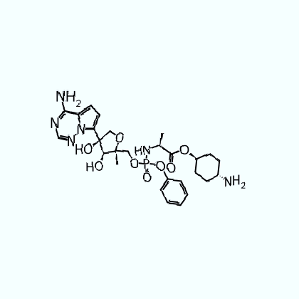 C[C@H](NP(=O)(OC[C@@]1(C)OC[C@@](O)(c2ccc3c(N)ncnn23)[C@@H]1O)Oc1ccccc1)C(=O)O[C@H]1CC[C@H](N)CC1